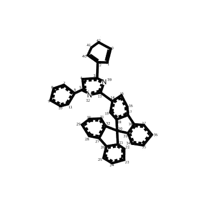 C1=CC(c2cc(-c3ccccc3)nc(-c3ccc4c(c3)C3(c5ccccc5-c5ccccc53)c3ccccc3-4)n2)=CCC1